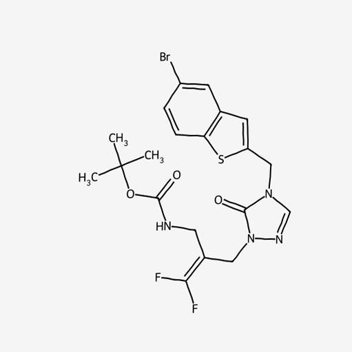 CC(C)(C)OC(=O)NCC(Cn1ncn(Cc2cc3cc(Br)ccc3s2)c1=O)=C(F)F